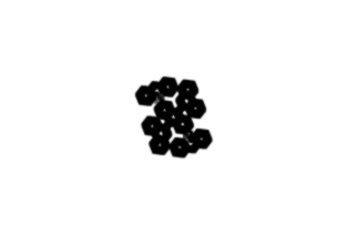 c1ccc2c(c1)Cc1ccccc1N2c1ccc2c(-c3cc4ccccc4c4ccccc34)c3cc(N4c5ccccc5Cc5ccccc54)ccc3c(-c3cc4ccccc4c4ccccc34)c2c1